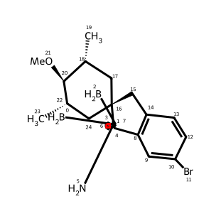 BC1(B)OC(N)=NC12c1cc(Br)ccc1C[C@@]21C[C@@H](C)[C@H](OC)[C@@H](C)C1